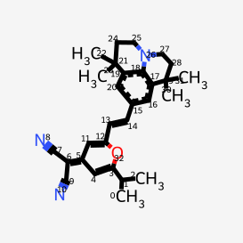 CC(C)C1=CC(=C(C#N)C#N)C=C(C=Cc2cc3c4c(c2)C(C)(C)CCN4CCC3(C)C)O1